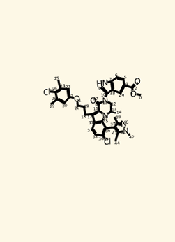 COC(=O)c1ccc2[nH]cc(N3C[C@@H](C)n4c(c(CCCOc5cc(C)c(Cl)c(C)c5)c5ccc(Cl)c(-c6c(C)nn(C)c6C)c54)C3=O)c2c1